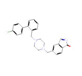 O=C1N=Cc2cc(CN3CCN(Cc4ccccc4-c4ccc(Cl)cc4)CC3)ccc21